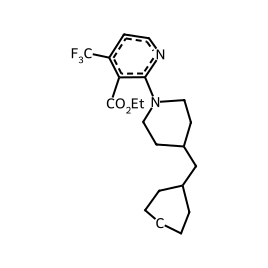 CCOC(=O)c1c(C(F)(F)F)ccnc1N1CCC(CC2CCCCC2)CC1